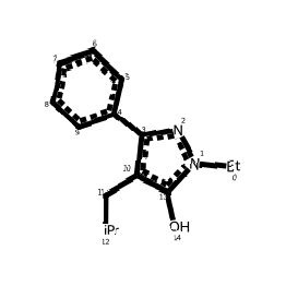 CCn1nc(-c2ccccc2)c(CC(C)C)c1O